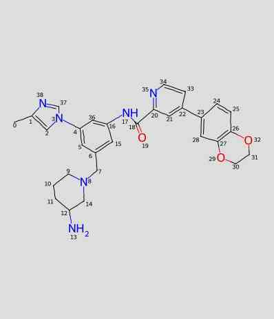 Cc1cn(-c2cc(CN3CCCC(N)C3)cc(NC(=O)c3cc(-c4ccc5c(c4)OCCO5)ccn3)c2)cn1